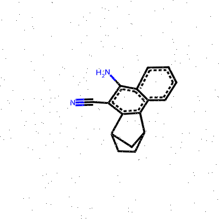 N#Cc1c2c(c3ccccc3c1N)C1CCC2C1